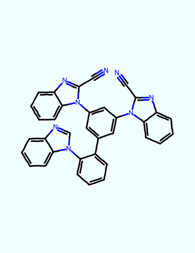 N#Cc1nc2ccccc2n1-c1cc(-c2ccccc2-n2cnc3ccccc32)cc(-n2c(C#N)nc3ccccc32)c1